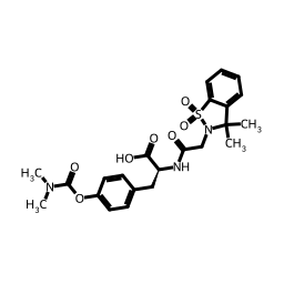 CN(C)C(=O)Oc1ccc(C[C@H](NC(=O)CN2C(C)(C)c3ccccc3S2(=O)=O)C(=O)O)cc1